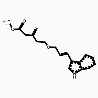 COC(=O)CC(=O)CCOC/C=C/c1c[nH]c2ccccc12